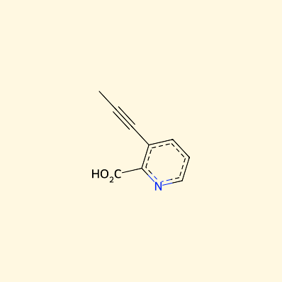 CC#Cc1cccnc1C(=O)O